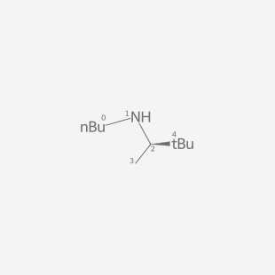 CCCCN[C@H](C)C(C)(C)C